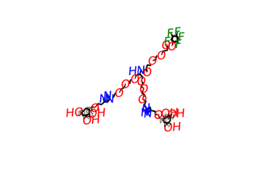 O=C(CCOCCOCCC(=O)Oc1c(F)c(F)c(F)c(F)c1F)NC(COCCOCCOCCn1cc(CCOC[C@H]2C[C@@H](O)C[C@@H](O)[C@H]2O)nn1)COCCOCCOCCn1cc(CCOC[C@H]2C[C@@H](O)C[C@@H](O)[C@H]2O)nn1